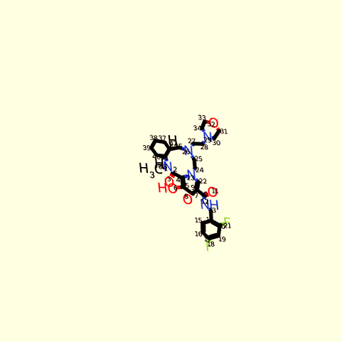 CN1C(=O)c2c(O)c(=O)c(C(=O)NCc3ccc(F)cc3F)cn2CCN(CCN2CCOCC2)C[C@@H]2CCCC[C@@H]21